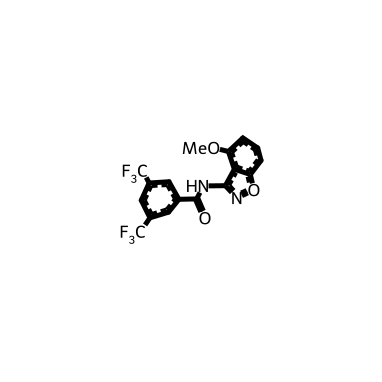 COc1cccc2onc(NC(=O)c3cc(C(F)(F)F)cc(C(F)(F)F)c3)c12